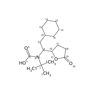 CC(C)(C)N(C(=O)O)C(CC1CCCCC1)C1CCC(=O)O1